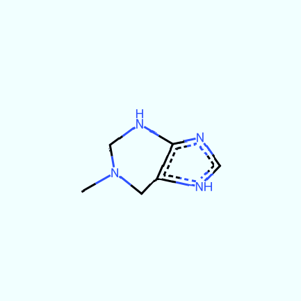 CN1CNc2nc[nH]c2C1